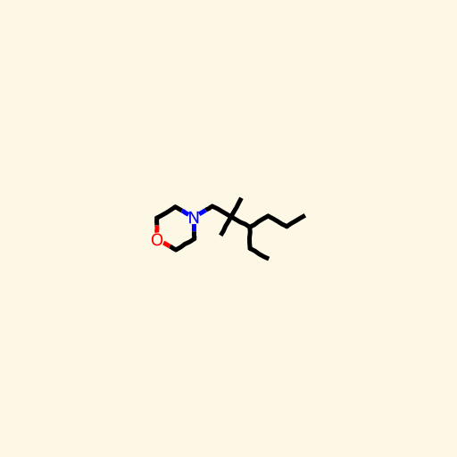 CCCC(CC)C(C)(C)CN1CCOCC1